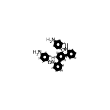 Nc1ccc(ONc2ccccc2-c2cccc(-c3ccccc3NOc3ccc(N)cc3)c2)cc1